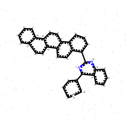 c1ccc(-c2nc(-c3cccc4c3ccc3c4ccc4c5ccccc5ccc43)nc3ccccc23)cc1